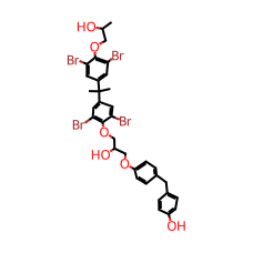 CC(O)COc1c(Br)cc(C(C)(C)c2cc(Br)c(OCC(O)COc3ccc(Cc4ccc(O)cc4)cc3)c(Br)c2)cc1Br